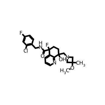 COC1(C)CN(CC2(O)CCC(F)(C(=O)NCc3ccc(F)cc3Cl)c3cccnc32)C1